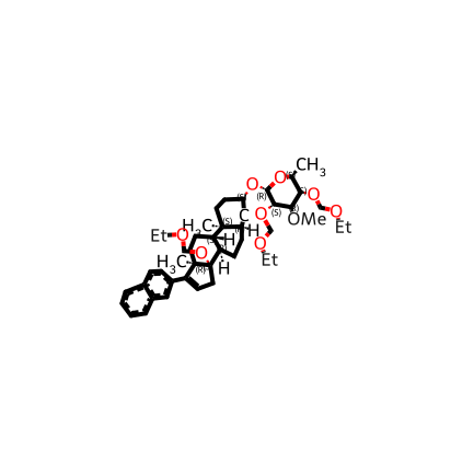 CCOCO[C@@H]1[C@H](O[C@H]2CC[C@@]3(C)[C@H](CC[C@@H]4[C@@H]3CC[C@]3(C)C(c5ccc6ccccc6c5)=CC[C@]43OCOCC)C2)O[C@@H](C)[C@H](OCOCC)[C@H]1OC